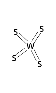 [S]=[W](=[S])(=[S])=[S]